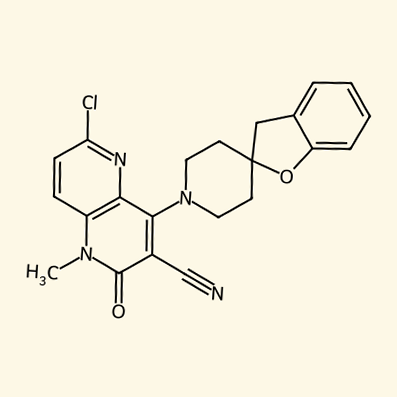 Cn1c(=O)c(C#N)c(N2CCC3(CC2)Cc2ccccc2O3)c2nc(Cl)ccc21